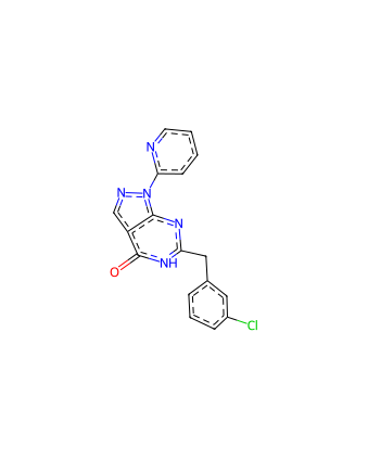 O=c1[nH]c(Cc2cccc(Cl)c2)nc2c1cnn2-c1ccccn1